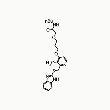 CCCCNC(=O)COCCCOc1ccnc(CSc2nc3ccccc3[nH]2)c1C